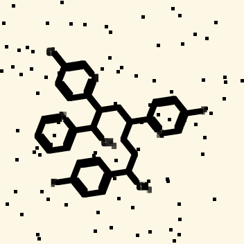 CC(CCC(CC(c1ccc(Cl)cn1)C(C)c1ccccn1)c1ccc(F)cn1)c1ccc(F)cc1